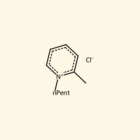 CCCCC[n+]1ccccc1C.[Cl-]